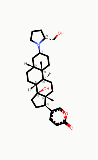 C[C@]12CC[C@H](N3CCC[C@@H]3CO)C[C@H]1CC[C@@H]1[C@@H]2CC[C@]2(C)[C@@H](c3ccc(=O)oc3)CC[C@]12O